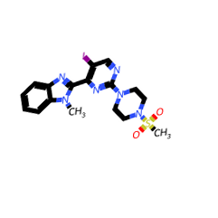 Cn1c(-c2nc(N3CCN(S(C)(=O)=O)CC3)ncc2I)nc2ccccc21